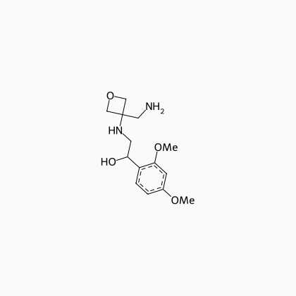 COc1ccc(C(O)CNC2(CN)COC2)c(OC)c1